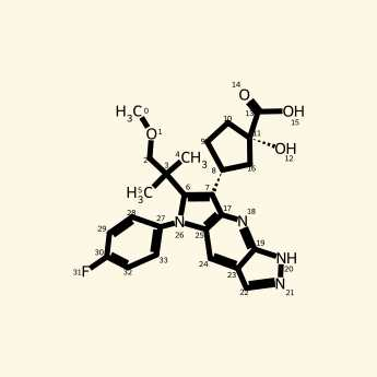 COCC(C)(C)c1c([C@@H]2CC[C@@](O)(C(=O)O)C2)c2nc3[nH]ncc3cc2n1-c1ccc(F)cc1